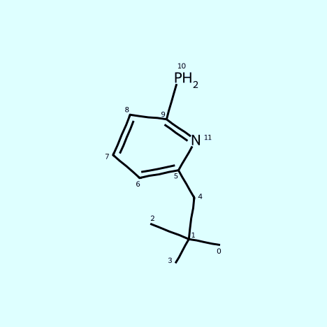 CC(C)(C)Cc1cccc(P)n1